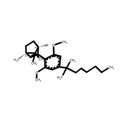 CCCCCCC(C)(C)c1cc(OC)c(C2=C[C@@]3(C)CC[C@@H]2C3(C)C)c(OC)c1